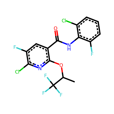 CC(Oc1nc(Cl)c(F)cc1C(=O)Nc1c(F)cccc1Cl)C(F)(F)F